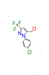 O=Cc1cc(C(F)(F)F)nn1-c1ccc(Cl)cc1